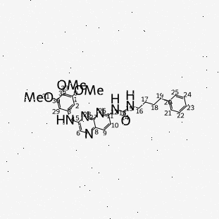 COc1cc(Nc2cnc3ccc(NC(=O)NCCCCc4ccccc4)nc3n2)cc(OC)c1OC